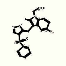 Cc1c(Cc2sncc2S(=O)(=O)c2ccccc2)c2cc(F)ccc2n1CC(=O)O